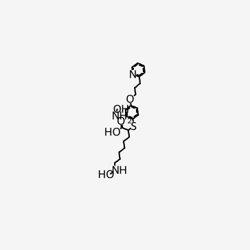 NO.O=C(O)C(CCCCCCNO)Sc1ccc(OCCCc2ccccn2)cc1